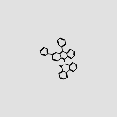 O=c1c2ccccc2c2ccccc2n1-c1c2ccccc2c(-c2ccccc2)c2cc(-c3ccccc3)ccc12